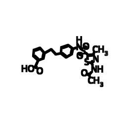 CC(=O)Nc1nc(C)c(S(=O)(=O)Nc2ccc(CCc3cccc(C(=O)O)c3)cc2)s1